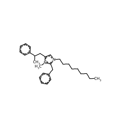 CCCCCCCCCn1cc(CC(C)c2ccccc2)[n+](C)c1Cc1ccccc1